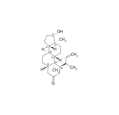 C=CC(C)[C@H]1CC(=O)C[C@@H]2CC[C@H]3[C@@H]4CC[C@H](O)[C@@]4(C)CC[C@@H]3[C@]21C